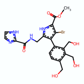 COC(=O)c1[nH]c(CNC(=O)c2ncc[nH]2)c(-c2ccc(CO)c(CO)c2CO)c1Br